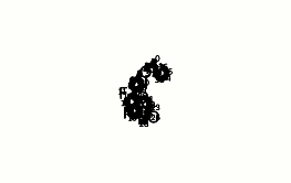 CC(COCc1ccc(-c2c(F)cc3ncc4c5c3c2OC[C@H](C)n5c(=O)n4C)cn1)N1CCCCC1